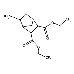 O=C(OCC(F)(F)F)C1C2CC(C1C(=O)OCC(F)(F)F)C(S(=O)(=O)O)C2